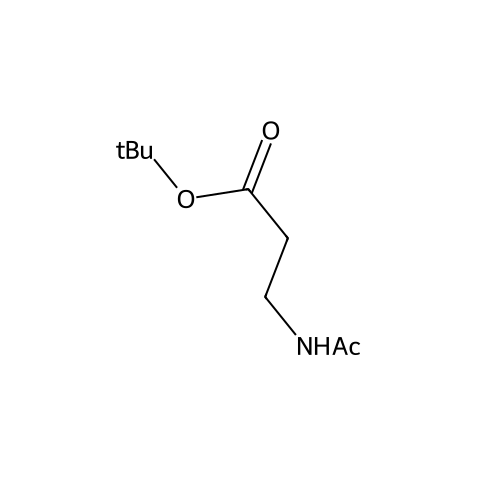 [CH2]C(=O)NCCC(=O)OC(C)(C)C